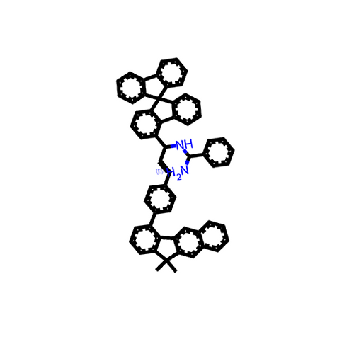 CC1(C)c2cc3ccccc3cc2-c2c(-c3ccc(/C=C/C(NC(N)c4ccccc4)c4cccc5c4-c4ccccc4C54c5ccccc5-c5ccccc54)cc3)cccc21